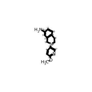 COc1ccc(N2CCc3ccc(N)cc3C2)cn1